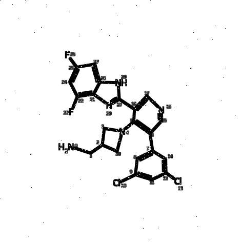 NCC1CN(c2c(-c3cc(Cl)cc(Cl)c3)cncc2-c2nc3c(F)cc(F)cc3[nH]2)C1